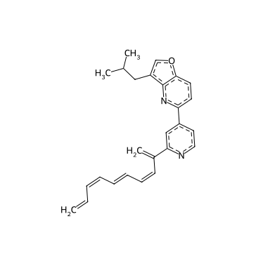 C=C\C=C/C=C/C=C\C(=C)c1cc(-c2ccc3occ(CC(C)C)c3n2)ccn1